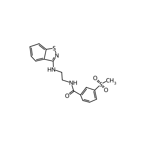 CS(=O)(=O)c1cccc(C(=O)NCCNc2nsc3ccccc23)c1